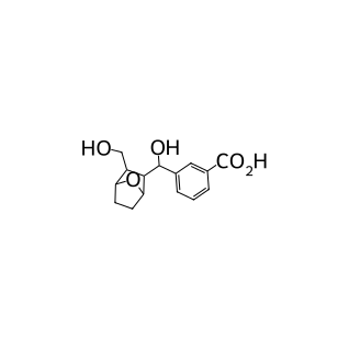 O=C(O)c1cccc(C(O)C2C3CCC(O3)C2CO)c1